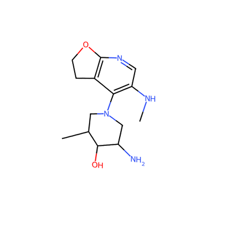 CNc1cnc2c(c1N1CC(C)C(O)C(N)C1)CCO2